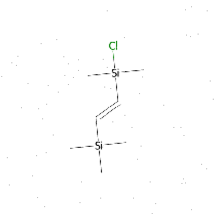 C[Si](C)(C)C=C[Si](C)(C)Cl